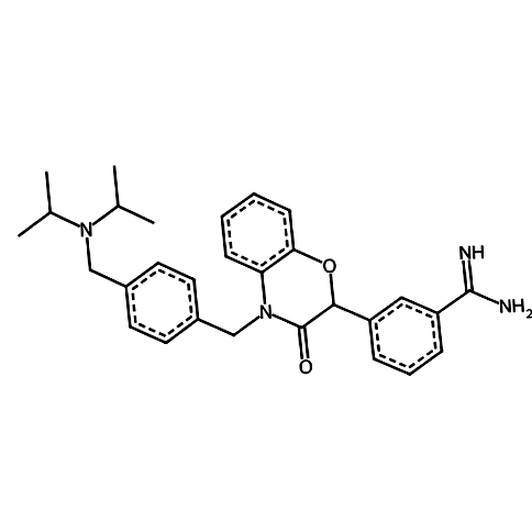 CC(C)N(Cc1ccc(CN2C(=O)C(c3cccc(C(=N)N)c3)Oc3ccccc32)cc1)C(C)C